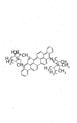 CC(C)[Si](CCc1c2ccccc2c2ccc3c4ccc5c(CC[Si](C(C)C)(C(C)C)C(C)C)c6ccccc6c6ccc(c7ccc1c2c73)c4c56)(C(C)C)C(C)C